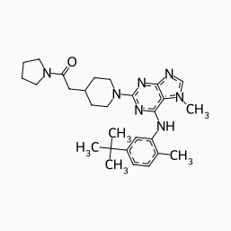 Cc1ccc(C(C)(C)C)cc1Nc1nc(N2CCC(CC(=O)N3CCCC3)CC2)nc2ncn(C)c12